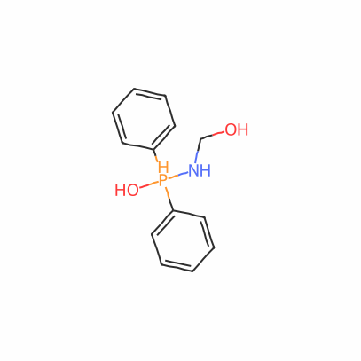 OCN[PH](O)(c1ccccc1)c1ccccc1